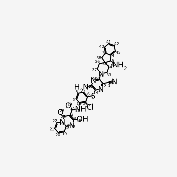 N#Cc1nc(Sc2cccc(NC(=O)c3c(O)nc4ccccn4c3=O)c2Cl)c(N)nc1N1CCC2(CC1)Cc1ccccc1[C@H]2N